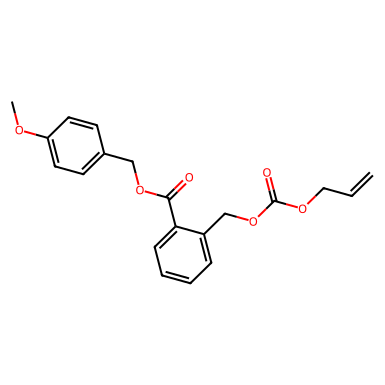 C=CCOC(=O)OCc1ccccc1C(=O)OCc1ccc(OC)cc1